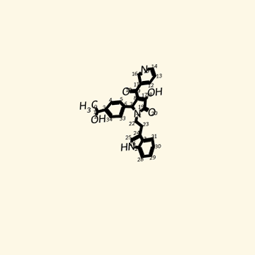 CC(O)c1ccc(C2C(C(=O)c3cccnc3)=C(O)C(=O)N2CCc2c[nH]c3ccccc23)cc1